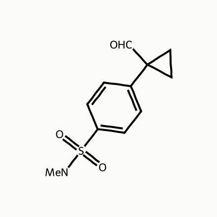 CNS(=O)(=O)c1ccc(C2(C=O)CC2)cc1